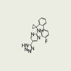 Fc1ccc(-c2ccccc2C2(Nc3ncc(-c4nnn[nH]4)cn3)CC2)cc1